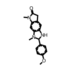 COc1ccc(C2Nc3cc4c(cc3N2C)N(C)C(=O)C4)cc1